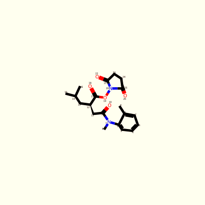 Cc1ccccc1N(C)C(=O)C[C@@H](CC(C)C)C(=O)ON1C(=O)CCC1=O